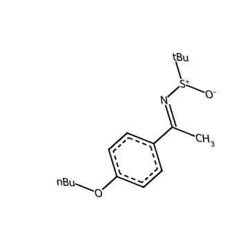 CCCCOc1ccc(C(C)=N[S+]([O-])C(C)(C)C)cc1